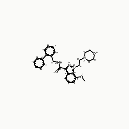 COc1cccc2c(C(=O)NCc3ccccc3-c3ccccc3)nn(CCN3CCOCC3)c12